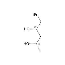 CC(C)C[C@@H](O)C[C@H](C)O